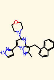 Cc1nn2c(-c3cc[nH]n3)cc(N3CCOCC3)nc2c1Cc1cccc2ccccc12